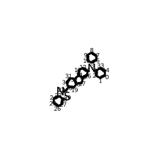 c1ccc(N(c2ccccc2)c2ccc3c(c2)Cc2cc(-c4nc5ccccc5s4)ccc2-3)cc1